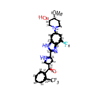 CO[C@H]1CCN(c2cc(F)c3nc(-c4cc(C(=O)c5ccccc5C(F)(F)F)c[nH]4)[nH]c3c2)C[C@@H]1O